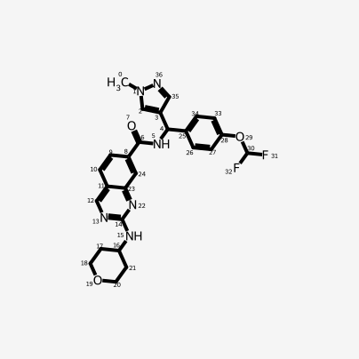 Cn1cc(C(NC(=O)c2ccc3cnc(NC4CCOCC4)nc3c2)c2ccc(OC(F)F)cc2)cn1